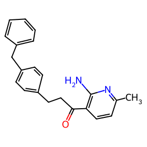 Cc1ccc(C(=O)CCc2ccc(Cc3ccccc3)cc2)c(N)n1